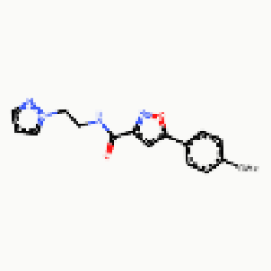 COc1ccc(-c2cc(C(=O)NCCn3cccn3)no2)cc1